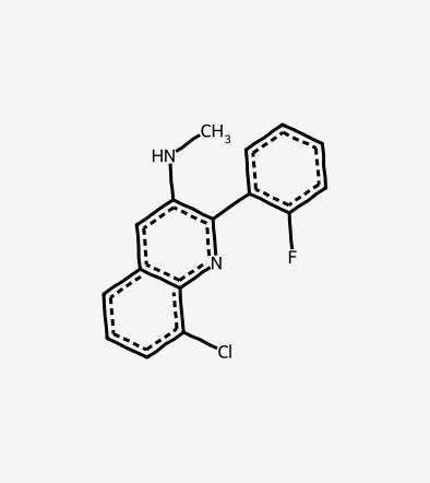 CNc1cc2cccc(Cl)c2nc1-c1ccccc1F